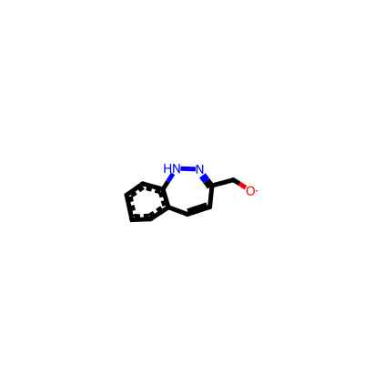 [O]CC1=NNc2ccccc2C=C1